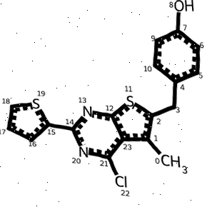 Cc1c(Cc2ccc(O)cc2)sc2nc(-c3cccs3)nc(Cl)c12